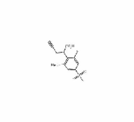 C#CCN(C(=O)O)c1c(F)cc(S(C)(=O)=O)cc1OC